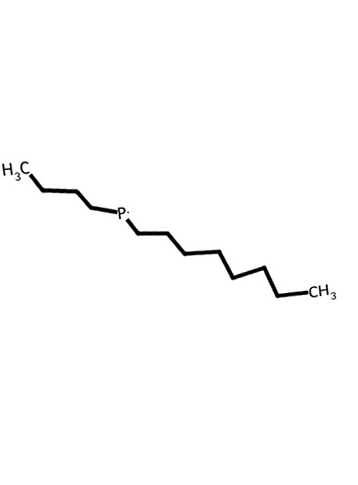 CCCCCCCC[P]CCCC